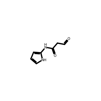 O=CCC(=O)Nc1ccc[nH]1